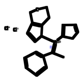 C/[C](c1ccccc1)=[Zr+2](\[C]1=CC=CC1)[CH]1C=CC2=C1CCCC2.[Cl-].[Cl-]